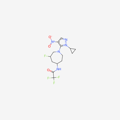 O=C(NC1CCN(c2c([N+](=O)[O-])cnn2C2CC2)CC(F)C1)C(F)(F)F